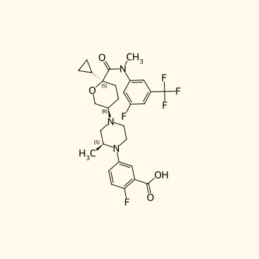 C[C@H]1CN([C@@H]2CC[C@@](C(=O)N(C)c3cc(F)cc(C(F)(F)F)c3)(C3CC3)OC2)CCN1c1ccc(F)c(C(=O)O)c1